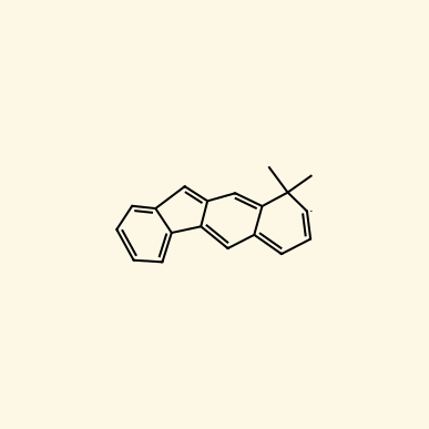 CC1(C)[C]=CC=c2cc3c(cc21)=Cc1ccccc1-3